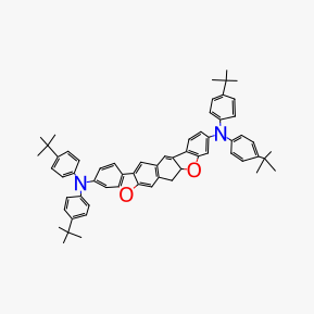 CC(C)(C)c1ccc(N(c2ccc(C(C)(C)C)cc2)c2ccc3c(c2)OC2Cc4cc5oc6cc(N(c7ccc(C(C)(C)C)cc7)c7ccc(C(C)(C)C)cc7)ccc6c5cc4C=C32)cc1